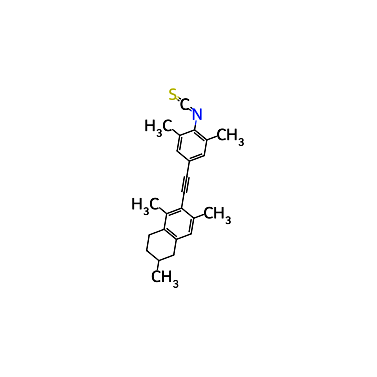 Cc1cc2c(c(C)c1C#Cc1cc(C)c(N=C=S)c(C)c1)CCC(C)C2